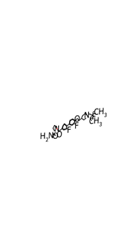 CCC(F)(CC)CN1CCC(COc2ccc(-c3ccc(C(=O)N4CCC[C@H]4C(N)=O)cc3F)cc2F)CC1